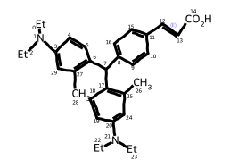 CCN(CC)c1ccc(C(c2ccc(/C=C/C(=O)O)cc2)c2ccc(N(CC)CC)cc2C)c(C)c1